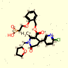 CC1=C(C(=O)OCc2ccccc2OCCS(=O)O)C(c2ccc(Cl)nc2)CC(=O)N1C[C@H]1CCCO1